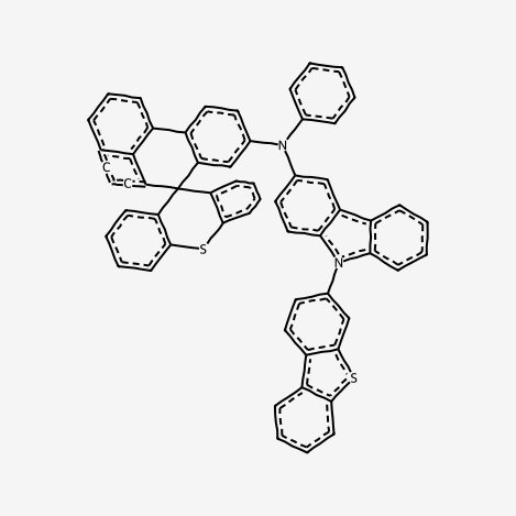 c1ccc(N(c2ccc3c(c2)C2(c4ccccc4Sc4ccccc42)c2cccc4cccc-3c24)c2ccc3c(c2)c2ccccc2n3-c2ccc3c(c2)sc2ccccc23)cc1